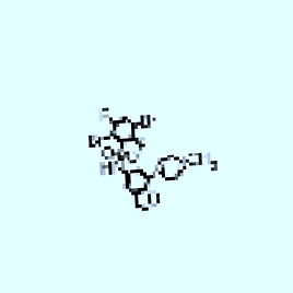 CN1CCN(c2cc(NS(=O)(=O)c3c(F)c(Br)cc(F)c3Br)cc3c2OCC3)CC1